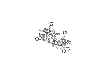 CC(C)(C)[Si](C)(C)OC[C@H]1O[C@@H](O[C@@H]2[C@H]3OC(=O)N[C@@H]3C[C@H](NC(=O)OCc3ccccc3)[C@H]2O[C@H]2O[C@@H]3COC(c4ccccc4)O[C@H]3[C@H](O[Si](C)(C)C(C)(C)C)[C@H]2NC(=O)OCc2ccccc2)[C@H](O[Si](C)(C)C(C)(C)C)[C@@H]1O[C@H]1O[C@@H](CNC(=O)OCc2ccccc2)[C@@H](O[Si](C)(C)C(C)(C)C)[C@H](O[Si](C)(C)C(C)(C)C)[C@H]1NC(=O)OCc1ccccc1